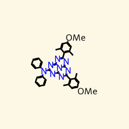 COc1cc(C)c(C2=NC3=NC(c4c(C)cc(OC)cc4C)=NC4=NC(N(c5ccccc5)c5ccccc5)=NC(=N2)N34)c(C)c1